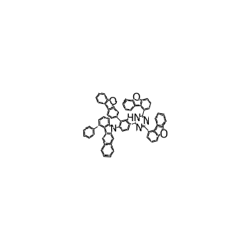 c1ccc(-c2cccc3c2c2cc4ccccc4cc2n3-c2ccc(C3N=C(c4cccc5oc6ccccc6c45)N=C(c4cccc5oc6ccccc6c45)N3)cc2-c2ccc3c(c2)oc2ccccc23)cc1